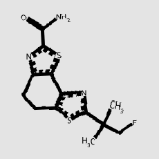 CC(C)(CF)c1nc2c(s1)CCc1nc(C(N)=O)sc1-2